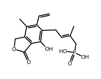 C=Cc1c(C)c2c(c(O)c1C/C=C(\C)CP(=O)(O)O)C(=O)OC2